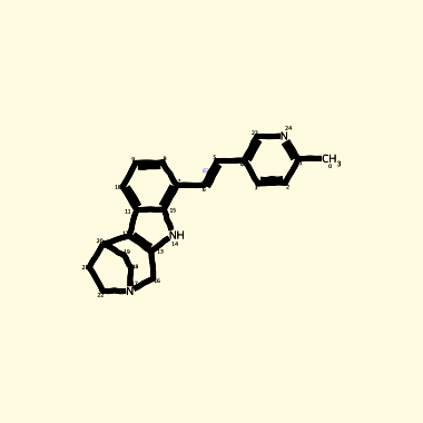 Cc1ccc(/C=C/c2cccc3c4c([nH]c23)CN2CCC4CC2)cn1